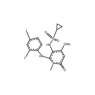 COc1cc(=O)n(C)c(Nc2ccc(I)cc2F)c1NS(=O)(=O)C1CC1